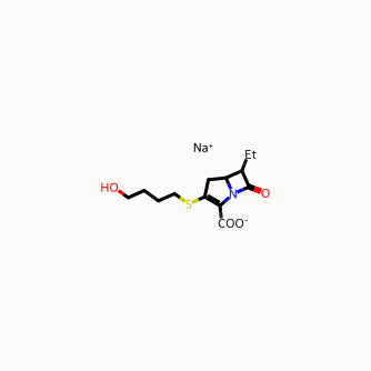 CCC1C(=O)N2C(C(=O)[O-])=C(SCCCCO)CC12.[Na+]